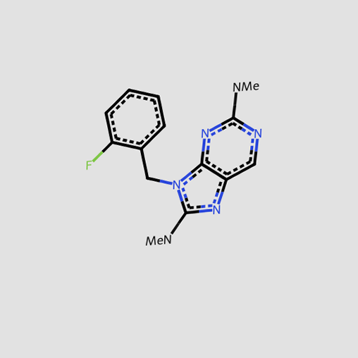 CNc1ncc2nc(NC)n(Cc3ccccc3F)c2n1